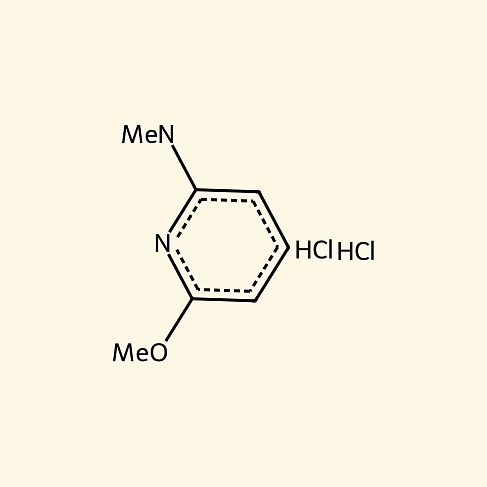 CNc1cccc(OC)n1.Cl.Cl